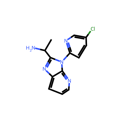 CC(N)c1nc2cccnc2n1-c1ccc(Cl)cn1